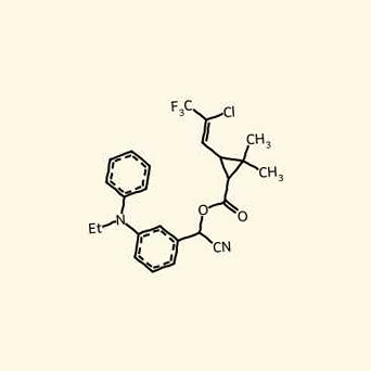 CCN(c1ccccc1)c1cccc(C(C#N)OC(=O)C2C(C=C(Cl)C(F)(F)F)C2(C)C)c1